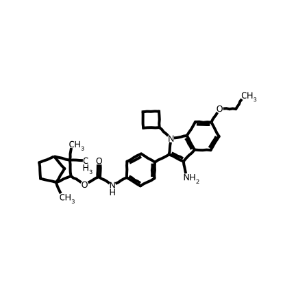 CCOc1ccc2c(N)c(-c3ccc(NC(=O)OC4C5(C)CCC(C5)C4(C)C)cc3)n(C3CCC3)c2c1